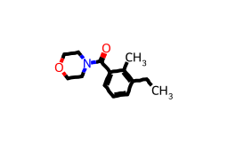 CCc1cccc(C(=O)N2CCOCC2)c1C